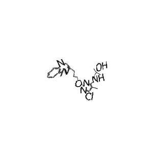 Cc1c(Cl)nc(OCCCc2cnc3ccccc3n2)nc1NCC(C)(C)O